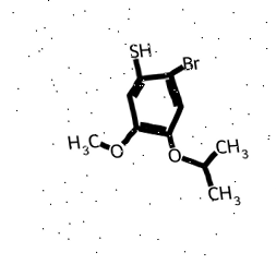 COc1cc(S)c(Br)cc1OC(C)C